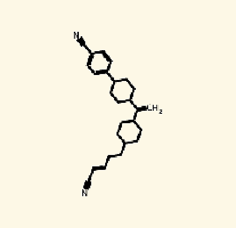 C=C(C1CCC(CCC=CC#N)CC1)C1CCC(c2ccc(C#N)cc2)CC1